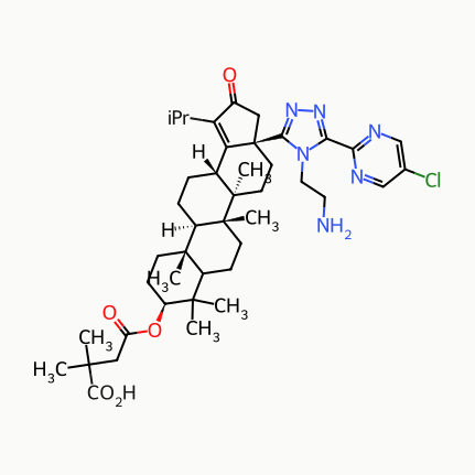 CC(C)C1=C2[C@H]3CC[C@@H]4[C@@]5(C)CC[C@H](OC(=O)CC(C)(C)C(=O)O)C(C)(C)C5CC[C@@]4(C)[C@]3(C)CC[C@@]2(c2nnc(-c3ncc(Cl)cn3)n2CCN)CC1=O